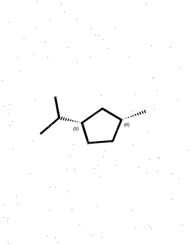 CC(C)[C@H]1CC[C@@H](C)C1